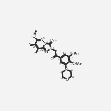 CCOc1nn2c(=N)n(CC(=O)c3cc(N4CCOCC4)c(OC)c(C(C)(C)C)c3)nc2c(C)c1C